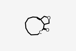 O=C1CCCCCCCCC=C2COCC12